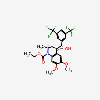 CCOC(=O)N1c2cc(OC)c(OC)cc2[C@H]([C@@H](O)c2cc(C(F)(F)F)cc(C(F)(F)F)c2)C[C@@H]1C